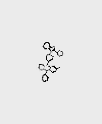 CC1=CC2C(C3=CCC(n4c(C5=CCCCC5)nc5ccccc54)C=C3)C3=CC=CCC3C(c3ccccc3)C2C=C1